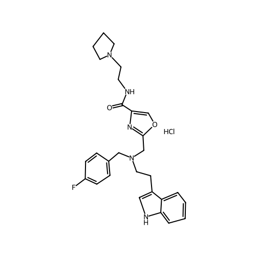 Cl.O=C(NCCN1CCCC1)c1coc(CN(CCc2c[nH]c3ccccc23)Cc2ccc(F)cc2)n1